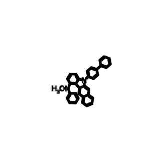 CN(c1ccccc1)c1cccc2c1c1cc3ccccc3cc1n2-c1ccc(-c2ccccc2)cc1